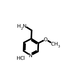 COc1cnccc1CN.Cl